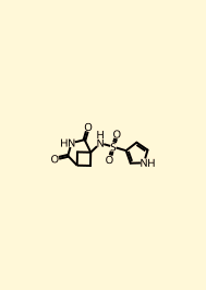 O=C1NC(=O)C2(NS(=O)(=O)c3cc[nH]c3)CC1C2